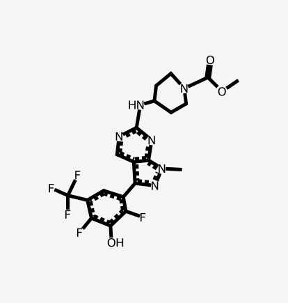 COC(=O)N1CCC(Nc2ncc3c(-c4cc(C(F)(F)F)c(F)c(O)c4F)nn(C)c3n2)CC1